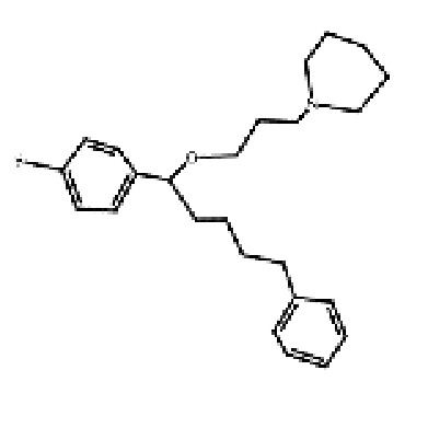 Fc1ccc(C(CCCCc2ccccc2)OCCCN2CCCCC2)cc1